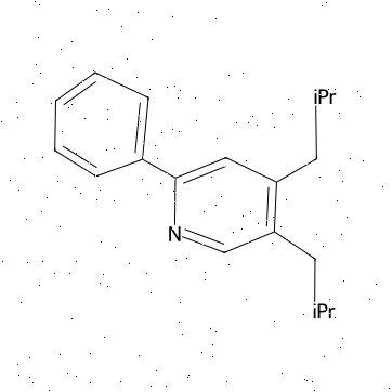 CC(C)Cc1cnc(-c2ccccc2)cc1CC(C)C